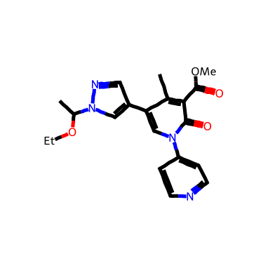 CCOC(C)n1cc(-c2cn(-c3ccncc3)c(=O)c(C(=O)OC)c2C)cn1